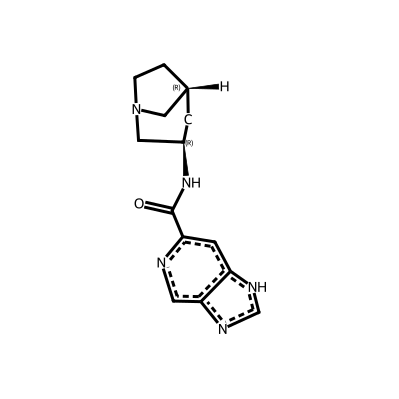 O=C(N[C@@H]1C[C@H]2CCN(C2)C1)c1cc2[nH]cnc2cn1